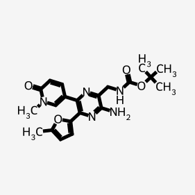 Cc1ccc(-c2nc(N)c(CNC(=O)OC(C)(C)C)nc2-c2ccc(=O)n(C)c2)o1